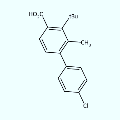 Cc1c(-c2ccc(Cl)cc2)ccc(C(=O)O)c1C(C)(C)C